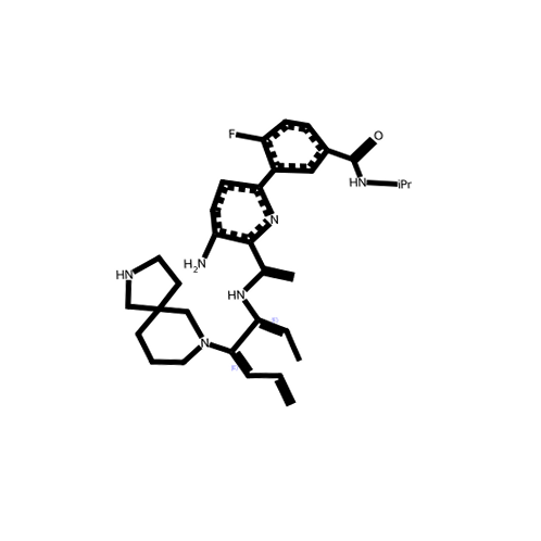 C=C/C=C(\C(=C/C)NC(=C)c1nc(-c2cc(C(=O)NC(C)C)ccc2F)ccc1N)N1CCCC2(CCNC2)C1